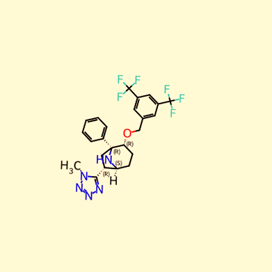 Cn1nnnc1[C@@H]1C[C@]2(c3ccccc3)N[C@H]1CC[C@H]2OCc1cc(C(F)(F)F)cc(C(F)(F)F)c1